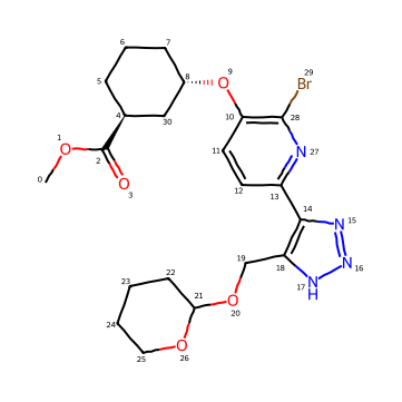 COC(=O)[C@H]1CCC[C@H](Oc2ccc(-c3nn[nH]c3COC3CCCCO3)nc2Br)C1